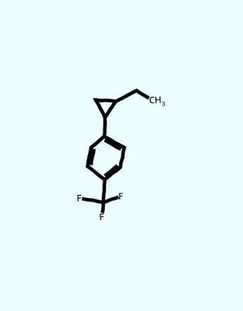 CCC1CC1c1ccc(C(F)(F)F)cc1